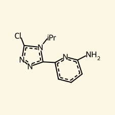 CC(C)n1c(Cl)nnc1-c1cccc(N)n1